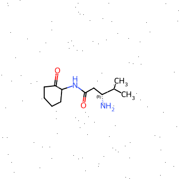 CC(C)[C@H](N)CC(=O)NC1CCCCC1=O